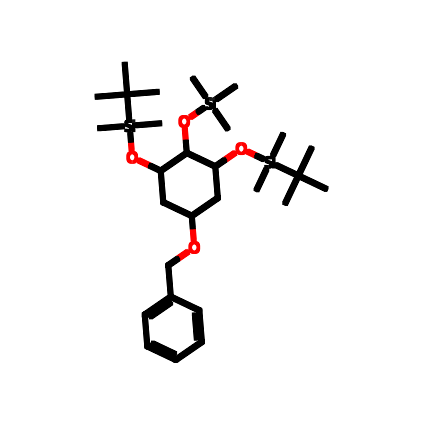 CC(C)(C)[Si](C)(C)OC1CC(OCc2ccccc2)CC(O[Si](C)(C)C(C)(C)C)C1O[Si](C)(C)C